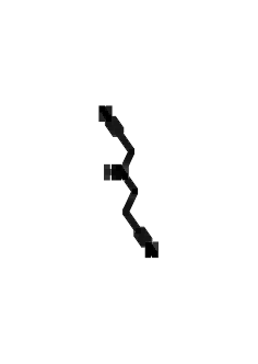 N#CCCNCC#N